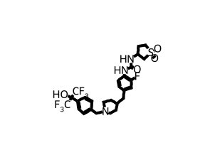 O=C(Nc1ccc(CC2CCN(Cc3ccc(C(O)(C(F)(F)F)C(F)(F)F)cc3)CC2)cc1F)NC1CCS(=O)(=O)C1